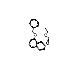 CCOC=O.c1ccc(COc2cccc3ccccc23)cc1